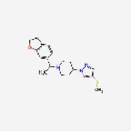 CSc1cnn(C2CCN(C(C)c3ccc4c(c3)OCC4)CC2)c1